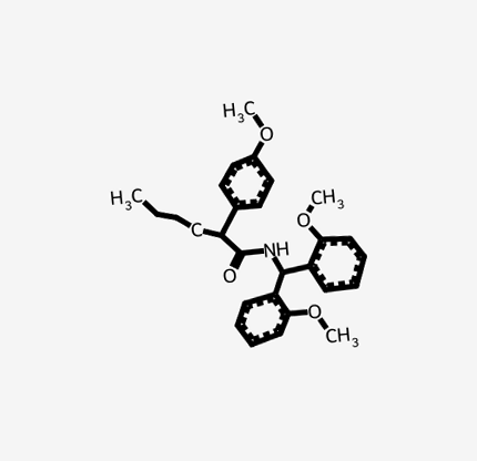 CCCCC(C(=O)NC(c1ccccc1OC)c1ccccc1OC)c1ccc(OC)cc1